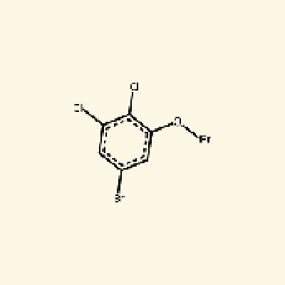 CC(C)Oc1cc(Br)cc(Cl)c1Cl